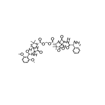 COc1cccc(OC)c1C(=O)N[C@@H]1C(=O)N2[C@@H]1SC(C)(C)[C@@H]2C(=O)OCOC(=O)[C@@H]1N2C(=O)[C@@H](NC(=O)C(N)c3ccccc3)[C@H]2S(=O)(=O)C1(C)C